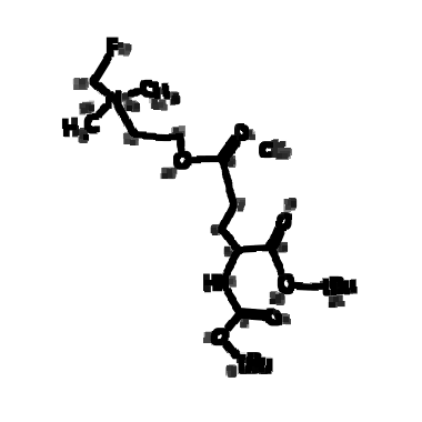 CC(C)(C)OC(=O)NC(CCC(=O)OCC[N+](C)(C)CF)C(=O)OC(C)(C)C.[Cl-]